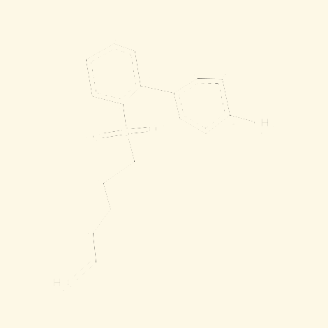 C=CCCCCS(=O)(=O)c1ccccc1-c1ccc(C)cc1